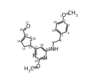 COc1ccc(CCNc2cc(C3CC=C(C=O)S3)nc(OC)n2)cc1